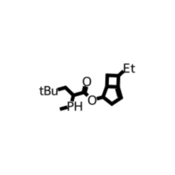 CCC1CC2C1=CCC2OC(=O)C(CC(C)(C)C)PC